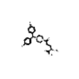 CC(C[CH]C(=O)N1CCN(C(c2ccc(F)cc2)c2ccc(F)cc2)CC1)C(N)=O